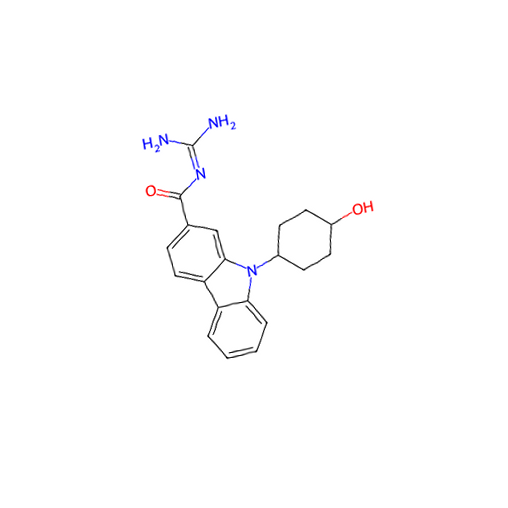 NC(N)=NC(=O)c1ccc2c3ccccc3n(C3CCC(O)CC3)c2c1